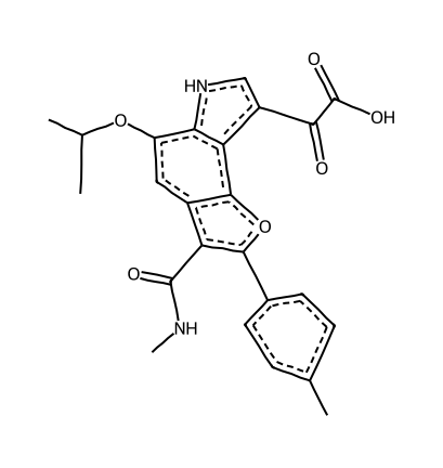 CNC(=O)c1c(-c2ccc(C)cc2)oc2c1cc(OC(C)C)c1[nH]cc(C(=O)C(=O)O)c12